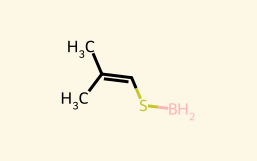 BSC=C(C)C